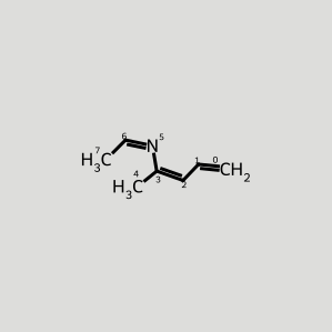 C=C/C=C(C)\N=C/C